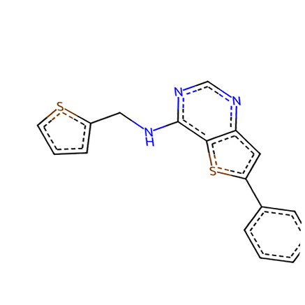 c1ccc(-c2cc3ncnc(NCc4cccs4)c3s2)cc1